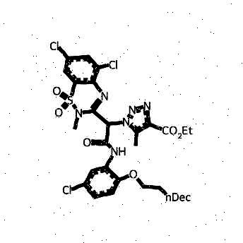 CCCCCCCCCCCCOc1ccc(Cl)cc1NC(=O)C(C1=Nc2c(Cl)cc(Cl)cc2S(=O)(=O)N1C)n1nnc(C(=O)OCC)c1C